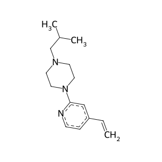 C=Cc1ccnc(N2CCN(CC(C)C)CC2)c1